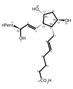 CCCCC[C@H](O)C=C[C@H]1[C@@H](CC=CCCCC(=O)O)[C@H](O)C[C@H]1O